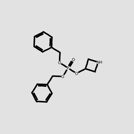 O=P(OCc1ccccc1)(OCc1ccccc1)OC1CNC1